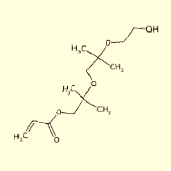 C=CC(=O)OCC(C)(C)OCC(C)(C)OCCO